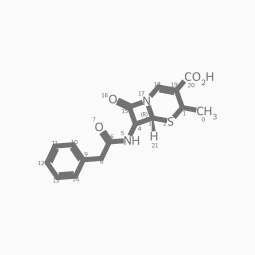 CC1S[C@@H]2C(NC(=O)Cc3ccccc3)C(=O)N2C=C1C(=O)O